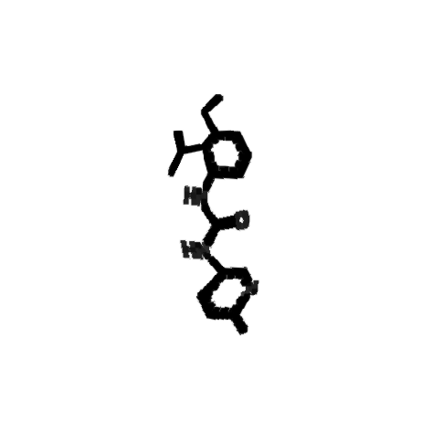 C=C(C)c1c(CC)cccc1NC(=O)Nc1ccc(C)nc1